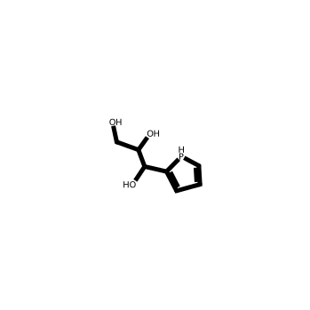 OCC(O)C(O)c1ccc[pH]1